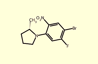 C[C@H]1CCCN1c1cc(F)c(Br)cc1[N+](=O)[O-]